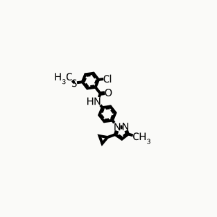 CSc1ccc(Cl)c(C(=O)Nc2ccc(-n3nc(C)cc3C3CC3)cc2)c1